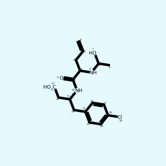 C=CCC(NC(C)O)C(=O)NC(CC(=O)O)Cc1ccc(Cl)cc1